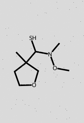 CON(C)C(S)C1(C)CCOC1